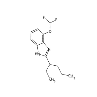 CCCC(CC)c1nc2c(OC(F)F)cccc2[nH]1